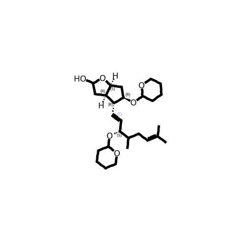 CC(C)=CCC(C)[C@@H](/C=C/[C@@H]1[C@H]2CC(O)O[C@H]2C[C@H]1OC1CCCCO1)OC1CCCCO1